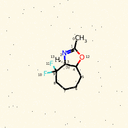 CC1=N[C@H]2C(CCCCC2(F)F)O1